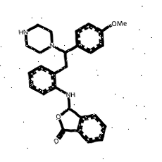 COc1ccc(C(Cc2ccccc2NC2OC(=O)c3ccccc32)N2CCNCC2)cc1